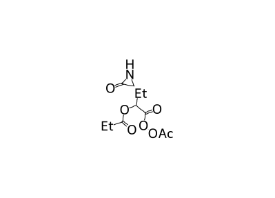 CCC(=O)OC(CC)C(=O)OOC(C)=O.O=C1CN1